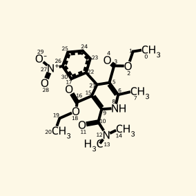 CCOC(=O)C1=C(C)NC(C(=O)N(C)C)=C(C(=O)OCC)C1c1cccc([N+](=O)[O-])c1